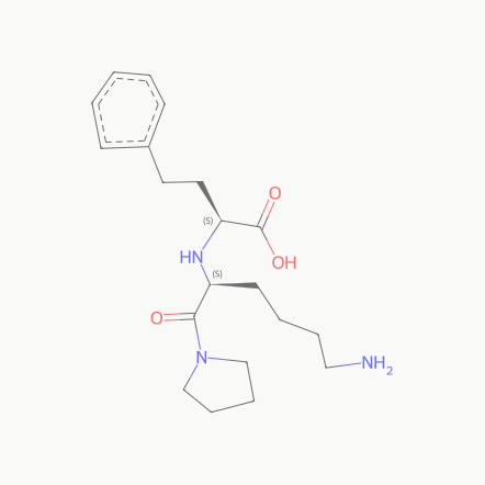 NCCCC[C@H](N[C@@H](CCc1ccccc1)C(=O)O)C(=O)N1CCCC1